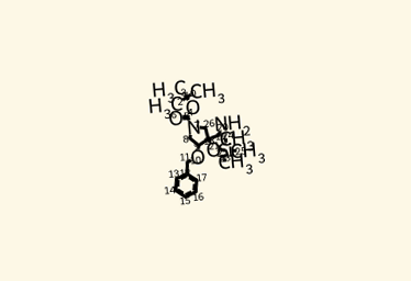 CC(C)(C)OC(=O)N1CC(OCc2ccccc2)C(CN)(O[Si](C)(C)C)C1